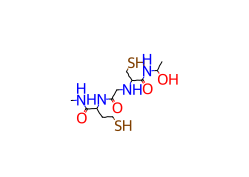 CNC(=O)C(CCS)NC(=O)CNC(CS)C(=O)NC(C)O